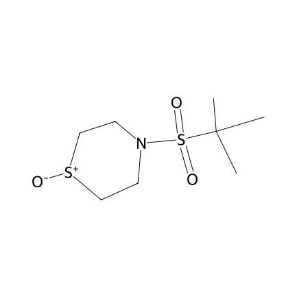 CC(C)(C)S(=O)(=O)N1CC[S+]([O-])CC1